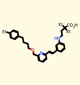 CCc1ccc(CCCCOCc2cccc(C=Cc3cccc(NCCC(CC)(CC)C(=O)O)c3)n2)cc1